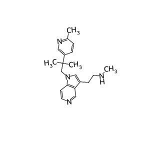 CNCCc1cn(CC(C)(C)c2ccc(C)nc2)c2ccncc12